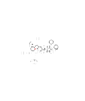 COc1ccccc1C(Cn1c(=O)n(C(C)(C)C(=O)O[Si](c2ccccc2)(c2ccccc2)C(C)(C)C)c(=O)c2c(C)c(-c3ncco3)sc21)OCC12CC3CC(CC(C3)C1)C2